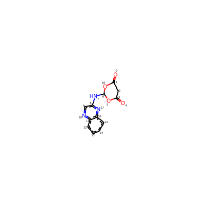 O=C1CC(=O)OC(Nc2cnc3ccccc3n2)O1